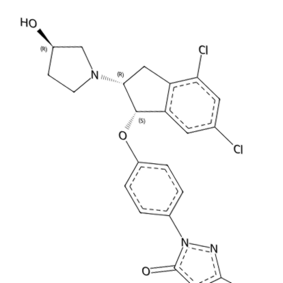 Cc1nn(-c2ccc(O[C@H]3c4cc(Cl)cc(Cl)c4C[C@H]3N3CC[C@@H](O)C3)cc2)c(=O)o1